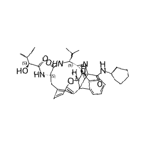 CC(C)[C@H](O)C(=O)N[C@H]1Cc2ccc3c(c2)C2(c4ccccc4N[C@H]2O3)c2oc(nc2C(=O)NC2CCCCC2)[C@H](C(C)C)NC1=O